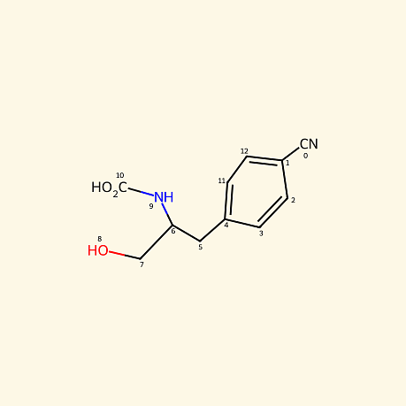 N#Cc1ccc(CC(CO)NC(=O)O)cc1